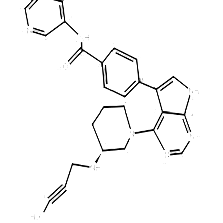 CC#CCN[C@H]1CCCN(c2ncnc3[nH]cc(-c4ccc(C(=O)Nc5cccnc5)cc4)c23)C1